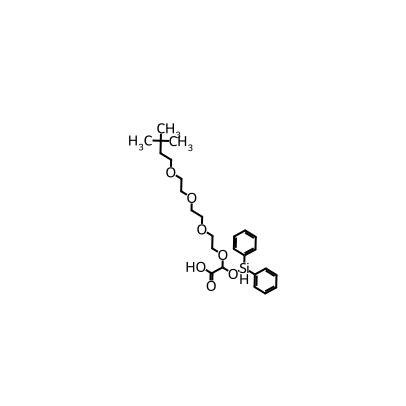 CC(C)(C)CCOCCOCCOCCOC(O[SiH](c1ccccc1)c1ccccc1)C(=O)O